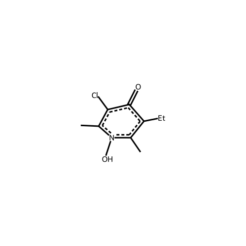 CCc1c(C)n(O)c(C)c(Cl)c1=O